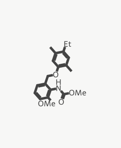 CCc1cc(C)c(OCc2cccc(OC)c2NC(=O)OC)cc1C